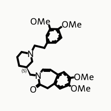 COc1ccc(CCN2CCC[C@H](CN3C=Cc4cc(OC)c(OC)cc4CC3=O)C2)cc1OC